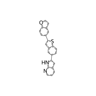 c1cnc2[nH]c(-c3ccc4sc(-c5ccc6occc6c5)cc4c3)cc2c1